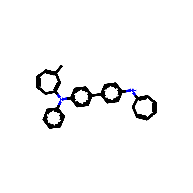 CC1=CC=CCC(N(c2ccccc2)c2ccc(-c3ccc(NC4=CC=CC=CC4)cc3)cc2)=C1